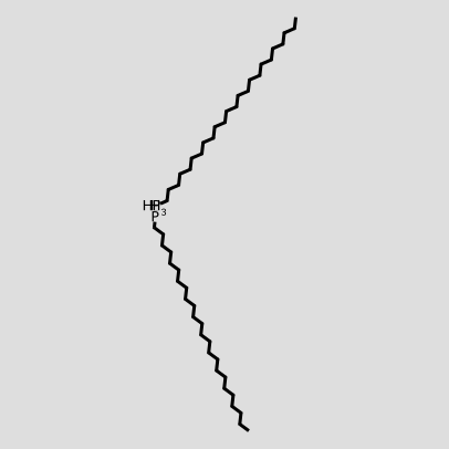 CCCCCCCCCCCCCCCCCCCCCCCCP[PH3]CCCCCCCCCCCCCCCCCCCCCCCC